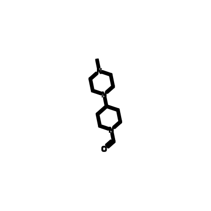 CN1CCN(C2CCN(C=O)CC2)CC1